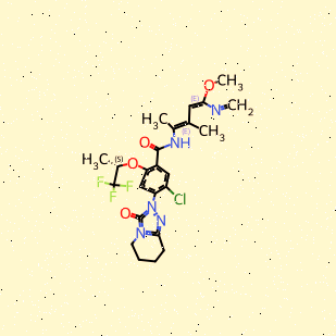 C=N/C(=C\C(C)=C(/C)NC(=O)c1cc(Cl)c(-n2nc3n(c2=O)CCCC3)cc1O[C@@H](C)C(F)(F)F)OC